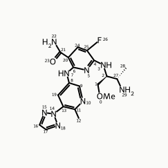 COC[C@@H](Nc1nc(Nc2cnc(C)c(-n3nccn3)c2)c(C(N)=O)cc1F)[C@H](C)N